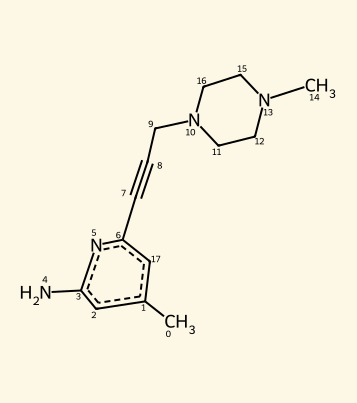 Cc1cc(N)nc(C#CCN2CCN(C)CC2)c1